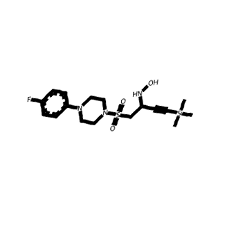 C[Si](C)(C)C#CC(CS(=O)(=O)N1CCN(c2ccc(F)cc2)CC1)NO